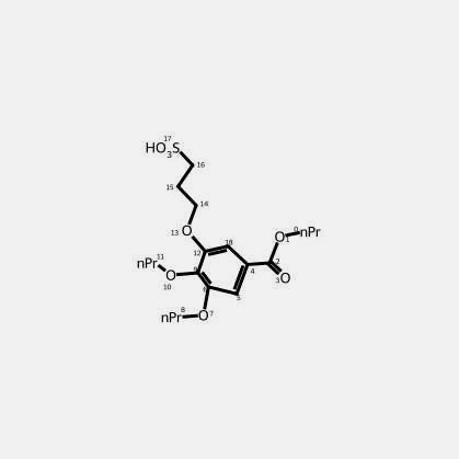 CCCOC(=O)c1cc(OCCC)c(OCCC)c(OCCCS(=O)(=O)O)c1